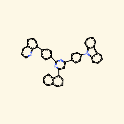 c1ccc2c(-c3cc(-c4ccc(-n5c6ccccc6c6ccccc65)cc4)nc(-c4ccc(-c5cccc6cccnc56)cc4)n3)cccc2c1